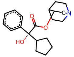 O=C(OC1CN2CCC1CC2)[C@](O)(c1ccccc1)C1CCCC1